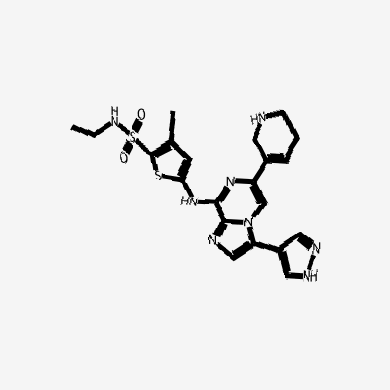 CCNS(=O)(=O)c1sc(Nc2nc(C3=CCCNC3)cn3c(-c4cn[nH]c4)cnc23)cc1C